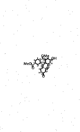 COC(=O)c1ccc(C(=O)OC)c(-c2c3ccc(=O)cc-3oc3cc(O)ccc23)c1